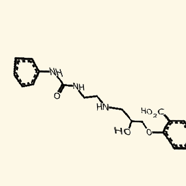 O=C(NCCNCC(O)COc1ccccc1C(=O)O)Nc1ccccc1